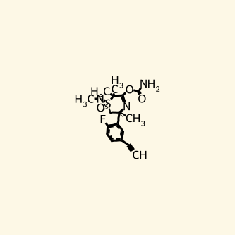 C#Cc1ccc(F)c([C@]2(C)C[S@@](=O)(=NC)C(C)(C)C(OC(N)=O)=N2)c1